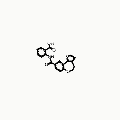 O=C(Nc1ccccc1C(=O)O)c1ccc2c(c1)-c1sccc1CCO2